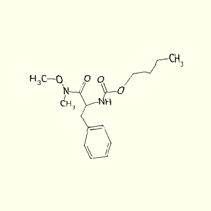 CCCCOC(=O)NC(Cc1ccccc1)C(=O)N(C)OC